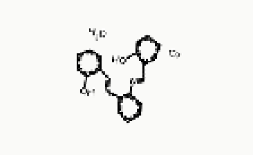 O.Oc1ccccc1C=Nc1ccccc1N=Cc1ccccc1O.[Co]